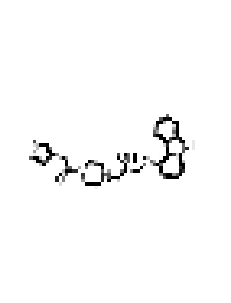 O=C(Cc1ccsc1)N1CCN(CC(O)COc2cccc3[nH]c4ccccc4c23)CC1